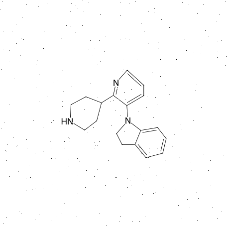 c1ccc2c(c1)CCN2c1cccnc1C1CCNCC1